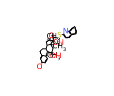 C[C@@H]1CC2C3CCC4=CC(=O)C=CC4(C)C3[C@@H](O)CC2(C)[C@@]1(O)C(=O)CSc1ccc2ccccc2n1